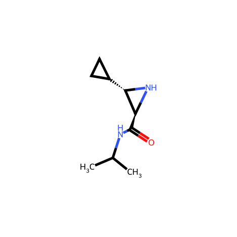 CC(C)NC(=O)[C@@H]1N[C@H]1C1CC1